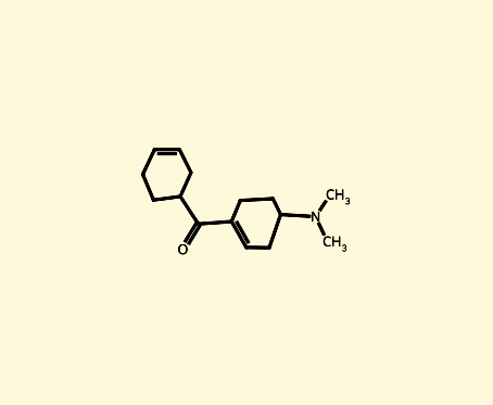 CN(C)C1CC=C(C(=O)C2CC=CCC2)CC1